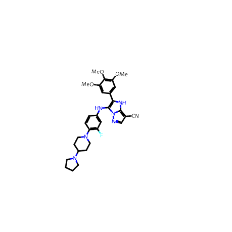 COc1cc(-c2[nH]c3c(C#N)cnn3c2Nc2ccc(N3CCC(N4CCCC4)CC3)c(F)c2)cc(OC)c1OC